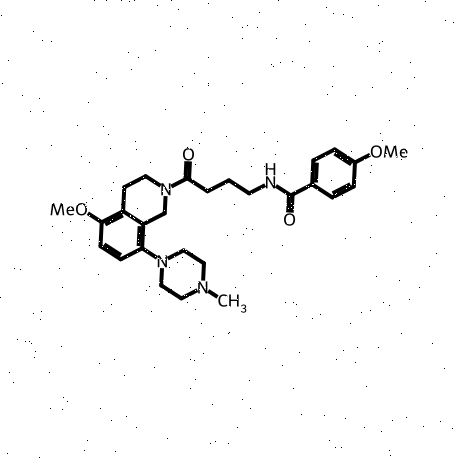 COc1ccc(C(=O)NCCCC(=O)N2CCc3c(OC)ccc(N4CCN(C)CC4)c3C2)cc1